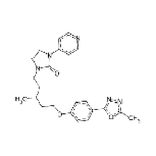 Cc1nnc(-c2ccc(OCCC(C)CCN3CCN(c4ccncc4)C3=O)cc2)o1